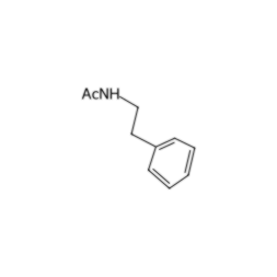 [CH]C(=O)NCCc1ccccc1